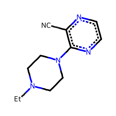 CCN1CCN(c2nccnc2C#N)CC1